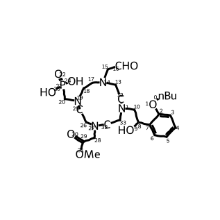 CCCCOc1ccccc1C(O)CN1CCN(CC=O)CCN(CP(=O)(O)O)CCN(CC(=O)OC)CC1